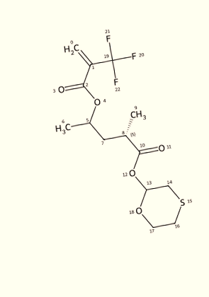 C=C(C(=O)OC(C)C[C@H](C)C(=O)OC1CSCCO1)C(F)(F)F